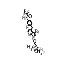 C[Si](C)(C)CCOCn1cc(Br)c2c(Cc3ccc(NC(=O)C(F)(F)F)cc3F)ccnc21